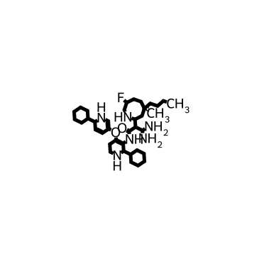 CCCC[C@]1(C)CCC(F)CNC(C(C(=O)NC2=C(OC3=CNC(C4CCCCC4)C=C3)CCNC2C2CCCCC2)C(N)N)C1